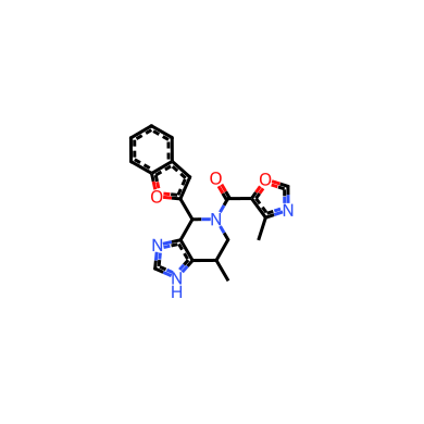 Cc1ncoc1C(=O)N1CC(C)c2[nH]cnc2C1c1cc2ccccc2o1